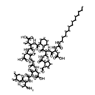 CCCCCCCCCCCCCCNC(=O)NC(CC(=O)O)C(=O)NC(C(=O)N1CCCCC1C(=O)NC(C(=O)NC(CC(=O)O)C(=O)NCC(=O)NC(CC(=O)O)C(=O)NC(=O)NC(C(=O)NC(C)C(C)C)C(C)N)C(C)C(=O)O)C(C)NC(=O)C1CCCN1C=O